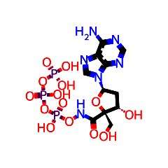 Nc1ncnc2c1ncn2[C@H]1C[C@H](O)[C@](CO)(C(=O)NOP(=O)(O)OP(=O)(O)OP(=O)(O)O)O1